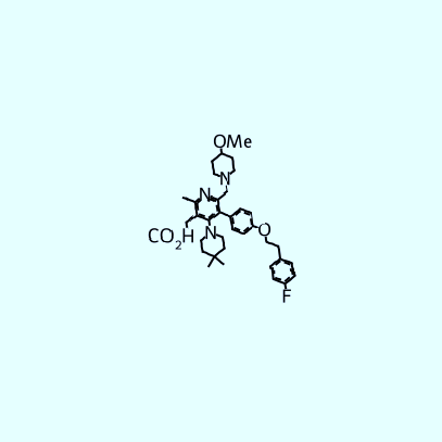 COC1CCN(Cc2nc(C)c(CC(=O)O)c(N3CCC(C)(C)CC3)c2-c2ccc(OCCc3ccc(F)cc3)cc2)CC1